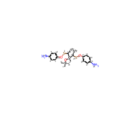 CCCC(SOc1ccc(N)cc1)[Si](C)(O[Si](C)(C)C)C(CCC)SOc1ccc(N)cc1